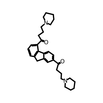 O=C(CCCN1CCCCC1)c1ccc2c(c1)Cc1cccc(C(=O)CCCN3CCCCC3)c1-2